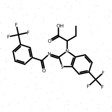 CCC(C(=O)O)n1c(=NC(=O)c2cccc(C(F)(F)F)c2)sc2cc(C(F)(F)F)ccc21